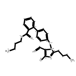 CCCCOC(=O)c1ccccc1-c1ccc(Cn2c(CCCC)nc(Cl)c2C=O)cc1